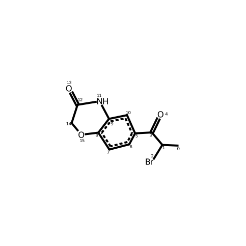 CC(Br)C(=O)c1ccc2c(c1)NC(=O)CO2